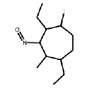 CCC1CCC(I)C(CC)C(N=O)C1C